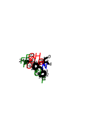 CCC1(CC)N=C(c2ccc(F)cc2)c2c(Cl)cc(OC(OO)C(F)(F)F)cc2O1